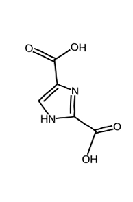 O=C(O)c1c[nH]c(C(=O)O)n1